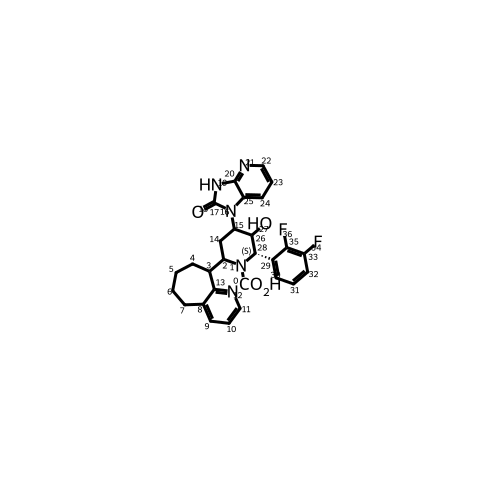 O=C(O)N1C(C2CCCCc3cccnc32)CC(n2c(=O)[nH]c3ncccc32)C(O)[C@@H]1c1cccc(F)c1F